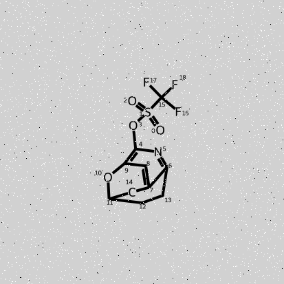 O=S(=O)(Oc1nc2c3cc1OC(CC2)C3)C(F)(F)F